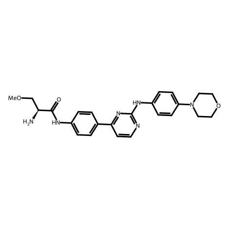 COC[C@H](N)C(=O)Nc1ccc(-c2ccnc(Nc3ccc(N4CCOCC4)cc3)n2)cc1